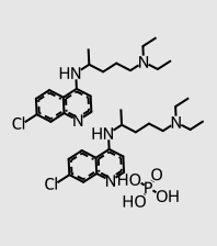 CCN(CC)CCCC(C)Nc1ccnc2cc(Cl)ccc12.CCN(CC)CCCC(C)Nc1ccnc2cc(Cl)ccc12.O=P(O)(O)O